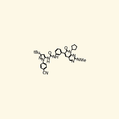 CNc1ncc2cc(-c3cccc(NC(=O)Nc4cc(C(C)(C)C)nn4-c4ccc(C#N)cc4)c3)c(=O)n(C3CCCC3)c2n1